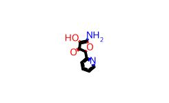 NC1=C(O)C(=O)C(c2ccccn2)O1